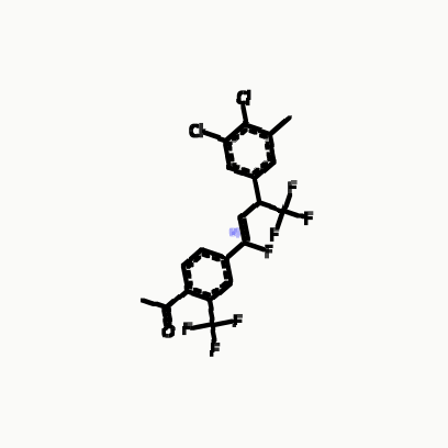 CC(=O)c1ccc(/C(F)=C/C(c2cc(C)c(Cl)c(Cl)c2)C(F)(F)F)cc1C(F)(F)F